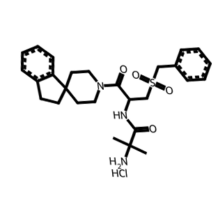 CC(C)(N)C(=O)NC(CS(=O)(=O)Cc1ccccc1)C(=O)N1CCC2(CCc3ccccc32)CC1.Cl